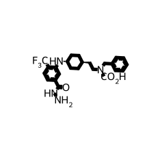 NNC(=O)c1ccc(C(F)(F)F)c(N[C@H]2CC[C@H](CCN(Cc3ccccc3)C(=O)O)CC2)c1